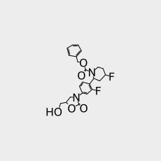 O=C1OC(CO)CN1c1ccc(C2CC(F)CCN2C(=O)OCc2ccccc2)c(F)c1